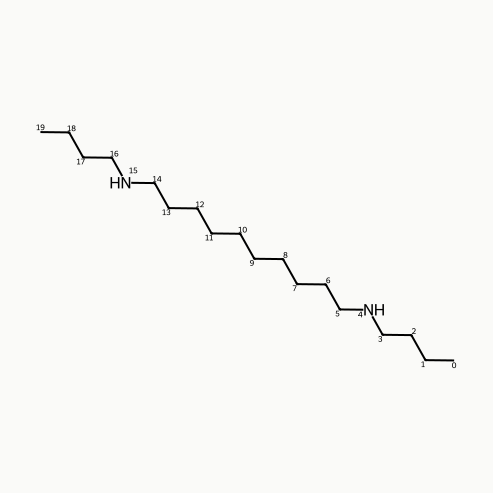 CCCCNCCCCCCCCCCNCCCC